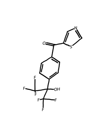 O=C(c1ccc(C(O)(C(F)(F)F)C(F)(F)F)cc1)c1cncs1